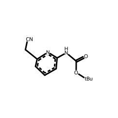 CC(C)(C)OC(=O)Nc1cccc(CC#N)n1